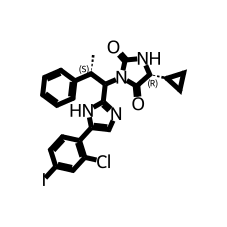 C[C@@H](c1ccccc1)C(c1ncc(-c2ccc(I)cc2Cl)[nH]1)N1C(=O)N[C@H](C2CC2)C1=O